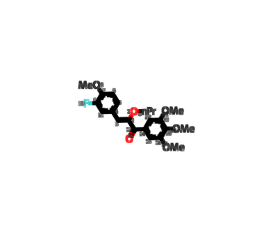 CCCO/C(=C\c1ccc(OC)c(F)c1)C(=O)c1cc(OC)c(OC)c(OC)c1